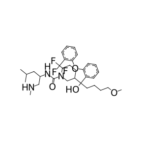 CNCC(CC(C)C)NC(=O)N1CCCC(C(O)(CCCCOC)c2ccccc2Oc2ccccc2C(F)(F)F)C1